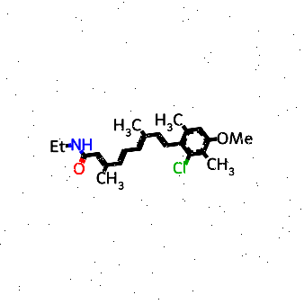 CCNC(=O)C=C(C)C=CC=C(C)C=Cc1c(C)cc(OC)c(C)c1Cl